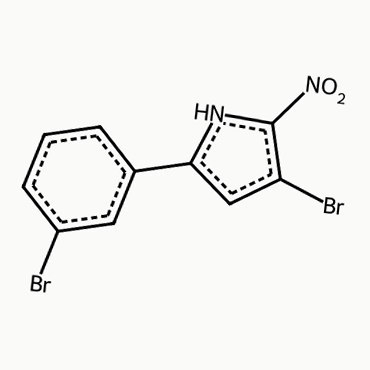 O=[N+]([O-])c1[nH]c(-c2cccc(Br)c2)cc1Br